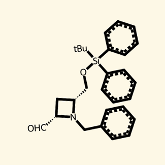 CC(C)(C)[Si](OC[C@H]1C[C@@H](C=O)N1Cc1ccccc1)(c1ccccc1)c1ccccc1